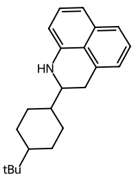 CC(C)(C)C1CCC(C2Cc3cccc4cccc(c34)N2)CC1